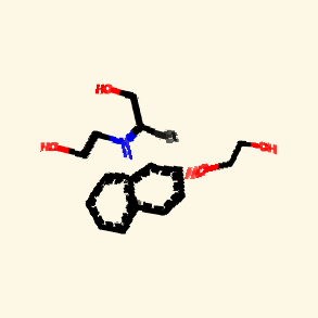 CCC(CO)NCCO.OCCO.c1ccc2ccccc2c1